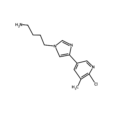 Cc1cc(-c2cn(CCCCN)cn2)cnc1Cl